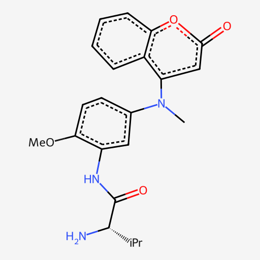 COc1ccc(N(C)c2cc(=O)oc3ccccc23)cc1NC(=O)[C@@H](N)C(C)C